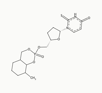 CC1CCCC2COP(=O)(OC[C@@H]3CC[C@H](n4ccc(=O)[nH]c4=S)O3)OC12